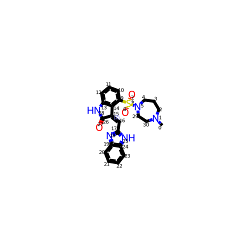 CN1CCCN(S(=O)(=O)c2cccc3c2/C(=C/c2nc4ccccc4[nH]2)C(=O)N3)CC1